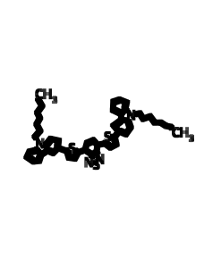 CCCCCCCCn1c2ccccc2c2cc(-c3ccc(C4C=CC(c5ccc(-c6ccc7c(c6)c6ccccc6n7CCCCCCCC)s5)c5nsnc54)s3)ccc21